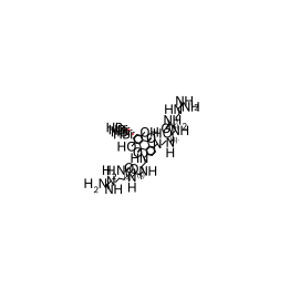 Br.Br.Br.Br.C[C@H](NCCNc1ccc(NCCN[C@@H](C)C(=O)N[C@@H](CCCNC(=N)N)C(N)=O)c2c1C(=O)c1c(O)ccc(O)c1C2=O)C(=O)N[C@@H](CCCNC(=N)N)C(N)=O